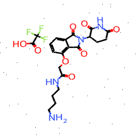 NCCCCNC(=O)COc1cccc2c1C(=O)N(C1CCC(=O)NC1=O)C2=O.O=C(O)C(F)(F)F